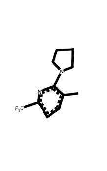 Cc1ccc(C(F)(F)F)nc1N1CCCC1